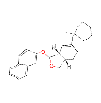 CC1(C2=C[C@@H]3[C@H](CC2)CO[C@@H]3Oc2ccc3ccccc3c2)CCCCC1